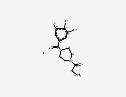 Cl.NCC(=O)N1CCN(C(=O)c2cc(F)c(F)c(F)c2)CC1